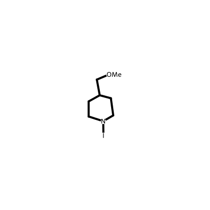 COCC1CCN(I)CC1